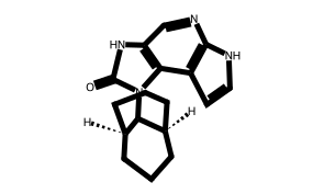 O=c1[nH]c2cnc3[nH]ccc3c2n1C1[C@H]2CCC[C@@H]1CCC2